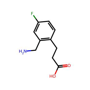 NCc1cc(F)ccc1CCC(=O)O